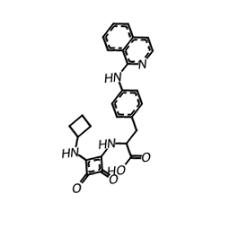 O=C(O)C(Cc1ccc(Nc2nccc3ccccc23)cc1)Nc1c(NC2CCC2)c(=O)c1=O